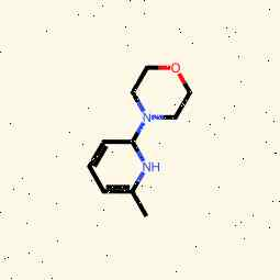 CC1=CC=CC(N2CCOCC2)N1